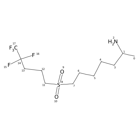 CC(N)CCCCCS(=O)(=O)CCCC(F)(F)C(F)(F)F